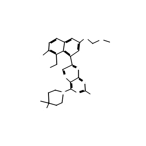 CCc1c(F)ccc2cc(OCOC)cc(-c3cnc4c(N5CCC(F)(F)CC5)nc(Cl)nc4n3)c12